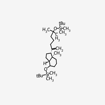 C=C(CCCC(C)(C)O[Si](C)(C)C(C)(C)C)[C@H]1CC[C@H]2C(O[Si](C)(C)C(C)(C)C)CCC[C@]12C